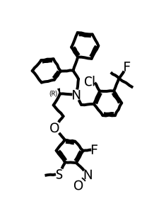 CSc1cc(OCC[C@@H](C)N(Cc2cccc(C(C)(C)F)c2Cl)CC(C2=CCCC=C2)c2ccccc2)cc(F)c1N=O